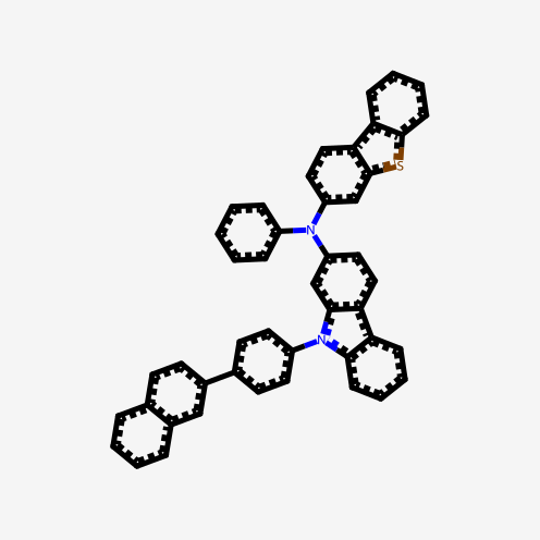 c1ccc(N(c2ccc3c(c2)sc2ccccc23)c2ccc3c4ccccc4n(-c4ccc(-c5ccc6ccccc6c5)cc4)c3c2)cc1